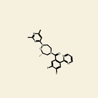 Cc1cc(N2CCN(C(=O)c3cc(F)c(F)cc3-c3ncccn3)C[C@H](C)O2)nc(C)n1